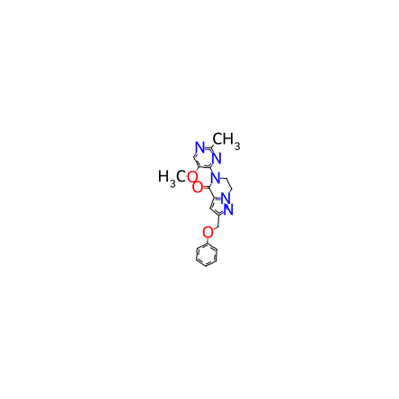 COc1cnc(C)nc1N1CCn2nc(COc3ccccc3)cc2C1=O